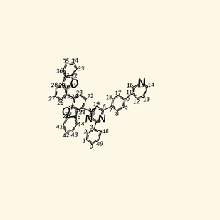 c1ccc(-c2nc(-c3ccc(-c4cccnc4)cc3)cc(-c3ccc(-c4cccc5c4oc4ccccc45)c4oc5ccccc5c34)n2)cc1